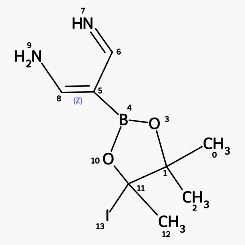 CC1(C)OB(/C(C=N)=C/N)OC1(C)I